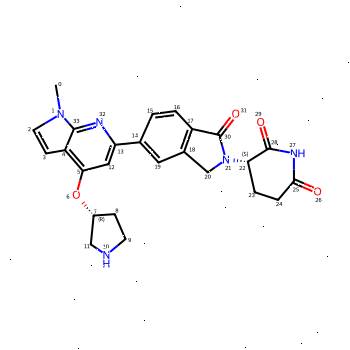 Cn1ccc2c(O[C@@H]3CCNC3)cc(-c3ccc4c(c3)CN([C@H]3CCC(=O)NC3=O)C4=O)nc21